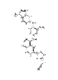 Cc1cc(Nc2ncnc3cnc(N4CC[C@H](CC#N)C4)nc23)ccc1Oc1ccc2c(c1)ncn2C